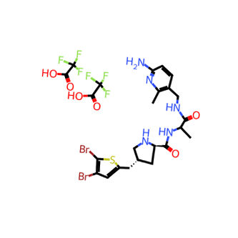 Cc1nc(N)ccc1CNC(=O)C(C)NC(=O)[C@H]1C[C@H](Cc2cc(Br)c(Br)s2)CN1.O=C(O)C(F)(F)F.O=C(O)C(F)(F)F